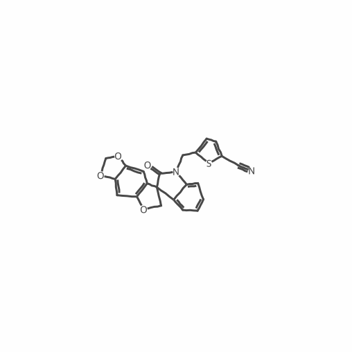 N#Cc1ccc(CN2C(=O)C3(COc4cc5c(cc43)OCO5)c3ccccc32)s1